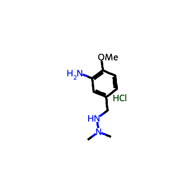 COc1ccc(CNN(C)C)cc1N.Cl